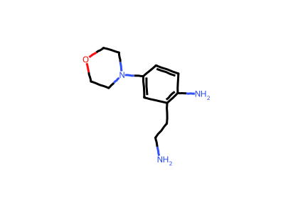 NCCc1cc(N2CCOCC2)ccc1N